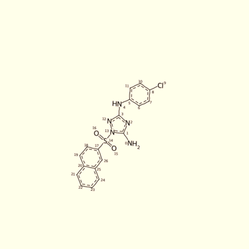 Nc1nc(Nc2ccc(Cl)cc2)nn1S(=O)(=O)c1ccc2ccccc2c1